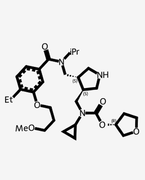 CCc1ccc(C(=O)N(C[C@@H]2CNC[C@H]2CN(C(=O)O[C@@H]2CCOC2)C2CC2)C(C)C)cc1OCCCOC